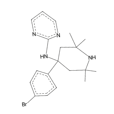 CC1(C)CC(Nc2ncccn2)(c2ccc(Br)cc2)CC(C)(C)N1